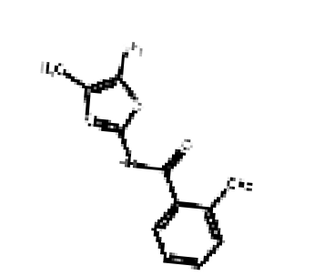 CC(=O)Oc1ccccc1C(=O)Nc1nc(C)c(C(F)(F)F)s1